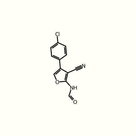 N#Cc1c(-c2ccc(Cl)cc2)coc1NC=O